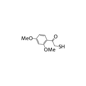 COc1ccc(C(=O)CS)c(OC)c1